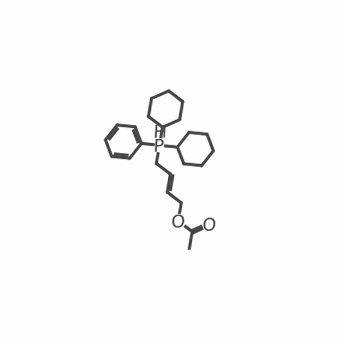 CC(=O)OCC=CC[PH](c1ccccc1)(C1CCCCC1)C1CCCCC1